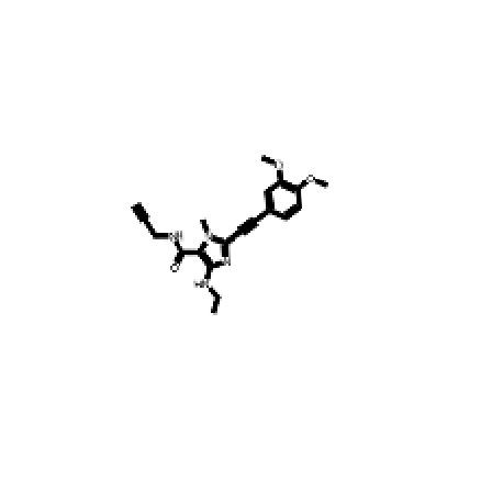 C#CCNC(=O)c1c(NCC)nc(C#Cc2ccc(OC)c(OC)c2)n1C